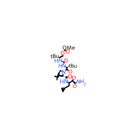 COC(=O)OC[C@@H](NC(=O)N[C@H](C(=O)N1CC2C([C@H]1C(=O)NC(CC1CC1)C(=O)C(N)=O)C2(C)C)C(C)(C)C)C(C)(C)C